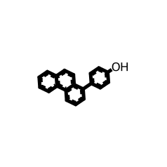 Oc1ccc(-c2cccc3c2ccc2ccccc23)cc1